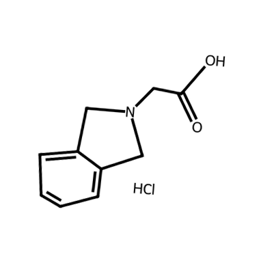 Cl.O=C(O)CN1Cc2ccccc2C1